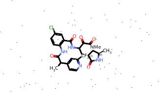 CNC(=O)C(=O)C(C[C@@H]1C[C@@H](C)NC1=O)NC(=O)c1cc(Cl)ccc1NC(=O)C(C)c1ccnc(C(F)(F)F)c1